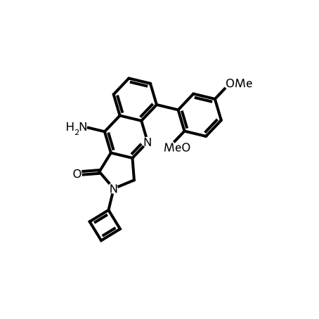 COc1ccc(OC)c(-c2cccc3c(N)c4c(nc23)CN(C2=CC=C2)C4=O)c1